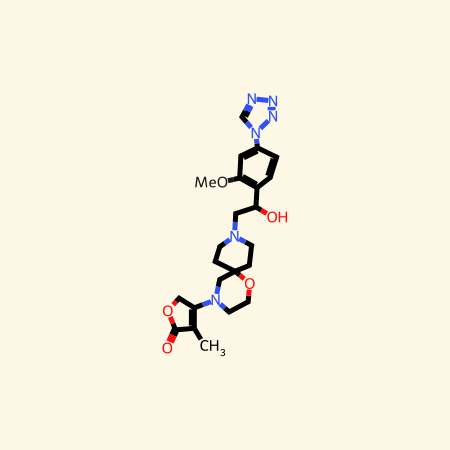 COc1cc(-n2cnnn2)ccc1C(O)CN1CCC2(CC1)CN(C1=C(C)C(=O)OC1)CCO2